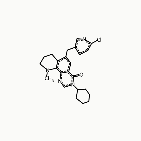 CN1CCCc2c(Cc3ccc(Cl)nc3)cc3c(=O)n(C4CCCCC4)cnc3c21